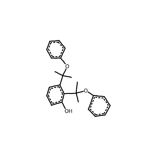 CC(C)(Oc1ccccc1)c1cccc(O)c1C(C)(C)Oc1ccccc1